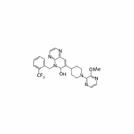 COc1nccnc1N1CCC(C2=Cc3nccnc3N(Cc3ccccc3C(F)(F)F)C2O)CC1